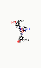 C1CNCCN1.COc1cc(/C=C/C(=O)CC(=O)/C=C/c2ccc(O)c(OC)c2)ccc1O